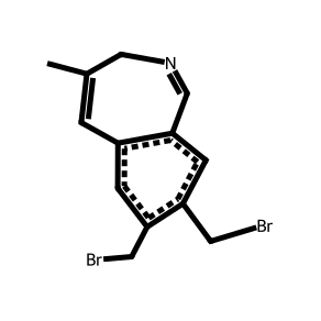 CC1=Cc2cc(CBr)c(CBr)cc2C=NC1